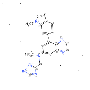 Cn1ccc2ccc(-c3cc(N(Cc4nc[nH]n4)C(=O)O)cc4nccnc34)cc21